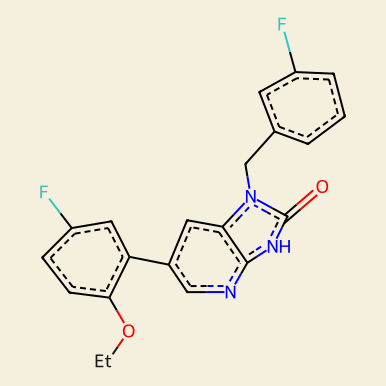 CCOc1ccc(F)cc1-c1cnc2[nH]c(=O)n(Cc3cccc(F)c3)c2c1